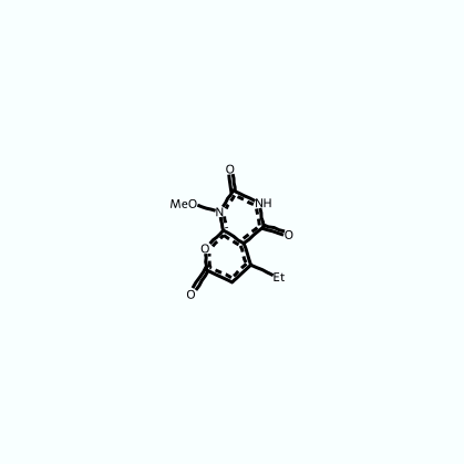 CCc1cc(=O)oc2c1c(=O)[nH]c(=O)n2OC